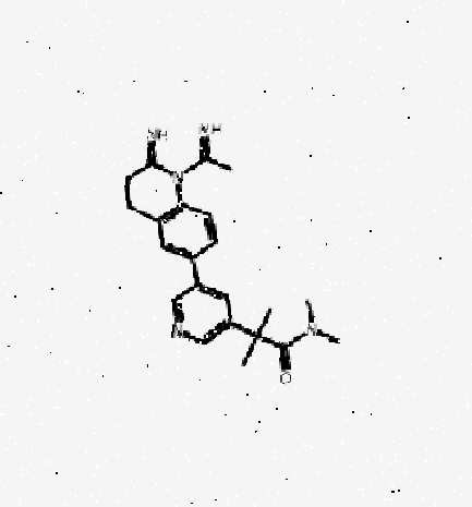 CC(=N)N1C(=N)CCc2cc(-c3cncc(C(C)(C)C(=O)N(C)C)c3)ccc21